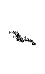 COC(=O)[C@H](CCCNC(C)=N)NC(=O)c1sccc1NS(=O)(=O)c1cccc(NCc2csc(N3CCN(Cc4cccnc4)CC3)n2)c1